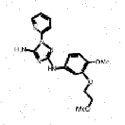 COCCOc1cc(Nc2nc(N)n(-c3ccccn3)n2)ccc1OC